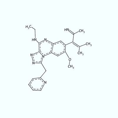 CCNc1nc2cc(C(C(C)=N)=C(C)C)c(OC)cc2n2c(Cc3ccccn3)nnc12